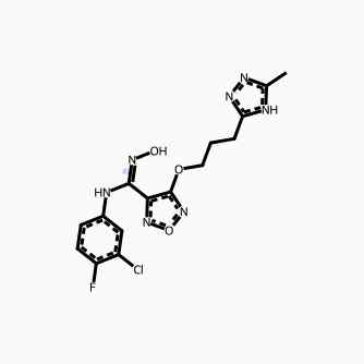 Cc1nnc(CCCOc2nonc2/C(=N\O)Nc2ccc(F)c(Cl)c2)[nH]1